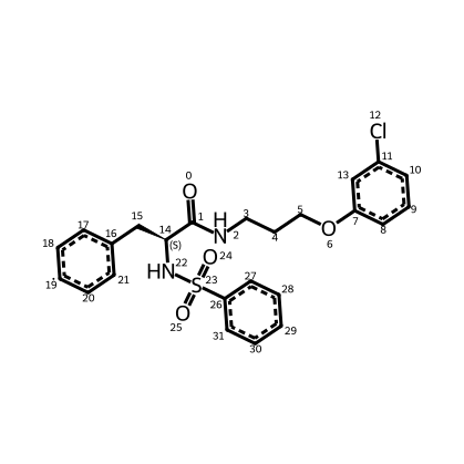 O=C(NCCCOc1cccc(Cl)c1)[C@H](Cc1cc[c]cc1)NS(=O)(=O)c1ccccc1